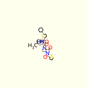 CC(C)CC(NC(=O)c1ccc(-c2ccccc2)s1)C(=O)N1CCC2C1C(=O)CN2C(=O)c1cccs1